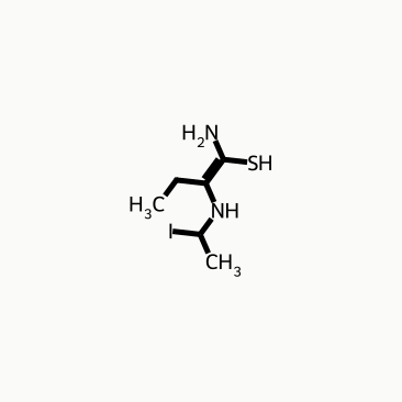 CC/C(NC(C)I)=C(\N)S